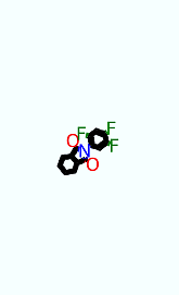 O=C1C2CCCCC2C(=O)N1c1cc(F)c(F)cc1F